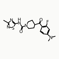 Cc1nsc(NC(=O)N2CCC(C(=O)c3ccc(N(C)C)cc3F)CC2)n1